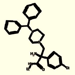 CCNC(=O)C(N)(CN1CCN(C(c2ccccc2)c2ccccc2)CC1)c1ccc(CC)cc1